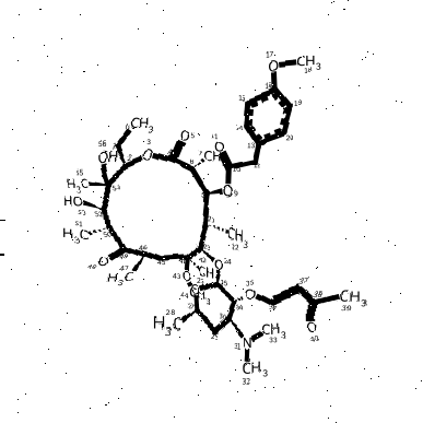 CC[C@H]1OC(=O)[C@H](C)[C@@H](OC(=O)Cc2ccc(OC)cc2)[C@H](C)[C@@H](O[C@@H]2O[C@H](C)C[C@H](N(C)C)[C@H]2O/C=C/C(C)=O)[C@@](C)(OC)C[C@@H](C)C(=O)[C@H](C)[C@@H](O)[C@]1(C)O